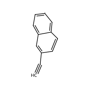 C#Cc1ccc2c[c]ccc2c1